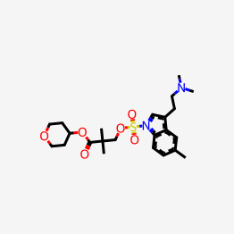 Cc1ccc2c(c1)c(CCN(C)C)cn2S(=O)(=O)OCC(C)(C)C(=O)OC1CCOCC1